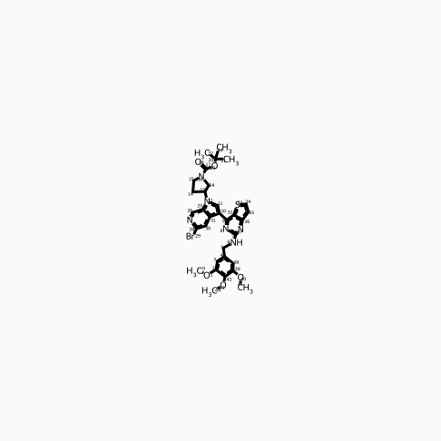 COc1cc(CNc2nc(-c3cn(C4CCN(C(=O)OC(C)(C)C)C4)c4cnc(Br)cc34)c3sccc3n2)cc(OC)c1OC